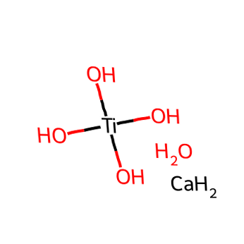 O.[CaH2].[OH][Ti]([OH])([OH])[OH]